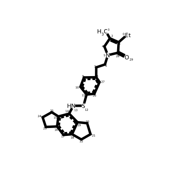 CCC1=C(C)CN(CCc2ccc(SNc3c4c(cc5c3CCC5)CCC4)cc2)C1=O